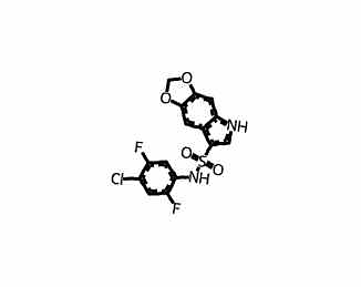 O=S(=O)(Nc1cc(F)c(Cl)cc1F)c1c[nH]c2cc3c(cc12)OCO3